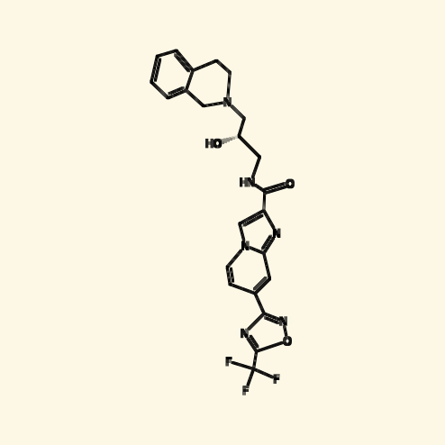 O=C(NC[C@H](O)CN1CCc2ccccc2C1)c1cn2ccc(-c3noc(C(F)(F)F)n3)cc2n1